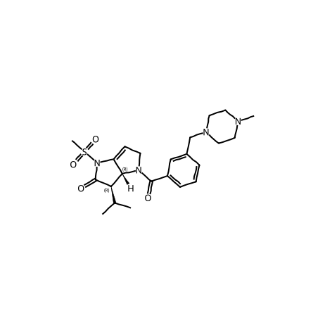 CC(C)[C@H]1C(=O)N(S(C)(=O)=O)C2=CCN(C(=O)c3cccc(CN4CCN(C)CC4)c3)[C@@H]21